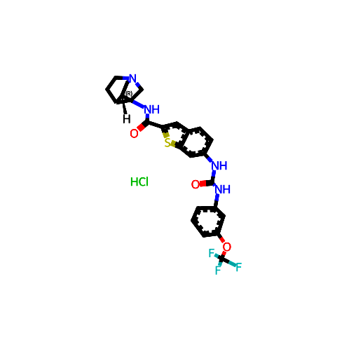 Cl.O=C(Nc1cccc(OC(F)(F)F)c1)Nc1ccc2cc(C(=O)N[C@H]3CN4CCC3CC4)sc2c1